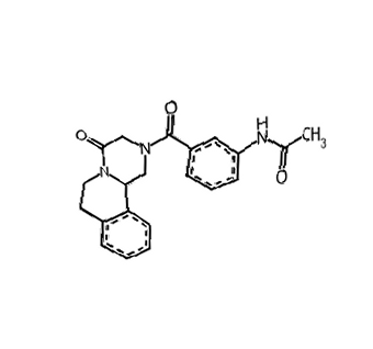 CC(=O)Nc1cccc(C(=O)N2CC(=O)N3CCc4ccccc4C3C2)c1